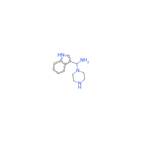 NC(c1c[nH]c2ccccc12)N1CCNCC1